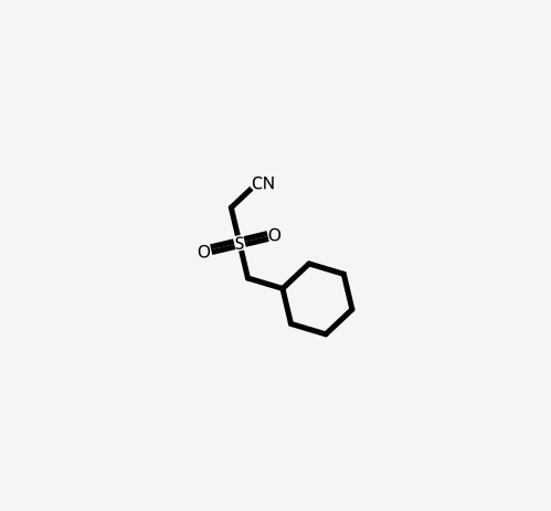 N#CCS(=O)(=O)CC1CCCCC1